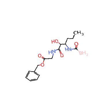 BC(=O)NC(CCC)C(O)C(=O)NCC(=O)OCc1ccccc1